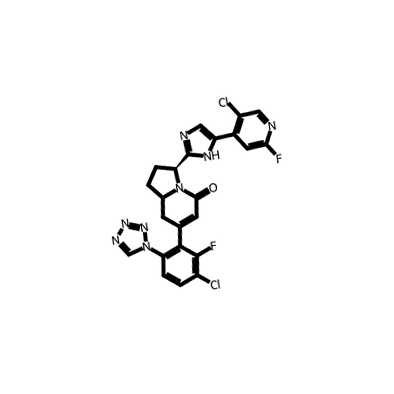 O=C1C=C(c2c(-n3cnnn3)ccc(Cl)c2F)CC2CC[C@@H](c3ncc(-c4cc(F)ncc4Cl)[nH]3)N12